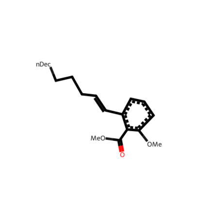 CCCCCCCCCCCCCC=Cc1cccc(OC)c1C(=O)OC